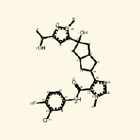 CC(O)c1cc(C2(O)CC3CC(c4ncn(C)c4C(=O)Nc4ccc(F)c(Cl)c4)CC3C2)n(C)n1